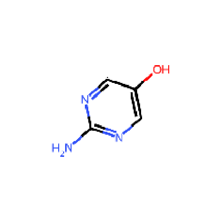 Nc1n[c]c(O)cn1